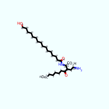 CCCCCCCCCCCCCCCC(=O)C(CCN)[C@H](NC(=O)CCCCCCCCCCCCCCCO)C(=O)O